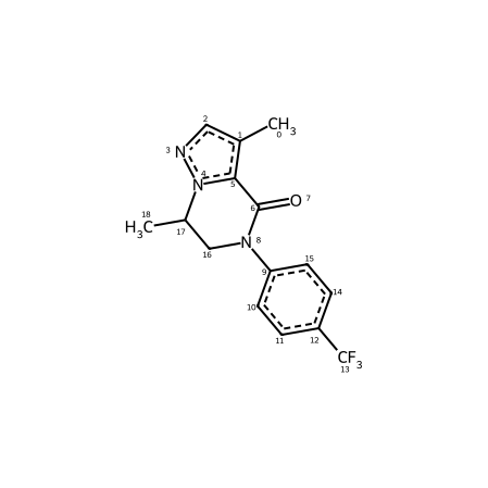 Cc1cnn2c1C(=O)N(c1ccc(C(F)(F)F)cc1)CC2C